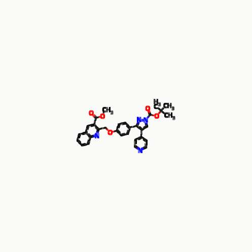 COC(=O)c1cc2ccccc2nc1COc1ccc(-c2nn(C(=O)OC(C)(C)C)cc2-c2ccncc2)cc1